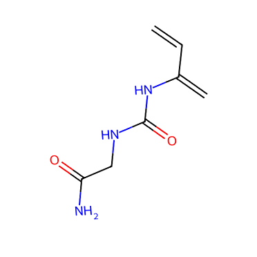 C=CC(=C)NC(=O)NCC(N)=O